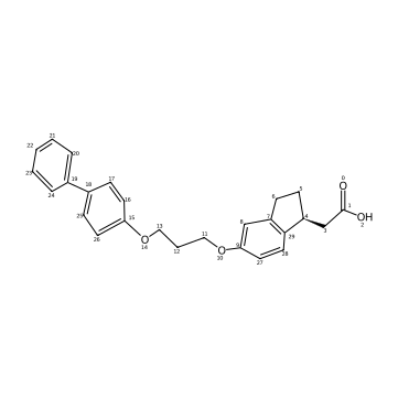 O=C(O)C[C@@H]1CCc2cc(OCCCOc3ccc(-c4ccccc4)cc3)ccc21